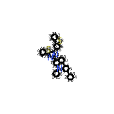 c1ccc(-c2ccc3c(c2)N(c2ccccc2)c2ccc(-c4nc(-c5ccc6sc7ccccc7c6c5)c5sc6ccccc6c5n4)c4cccc-3c24)cc1